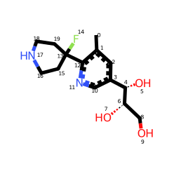 Cc1cc([C@H](O)[C@@H](O)CO)cnc1C1(F)CCNCC1